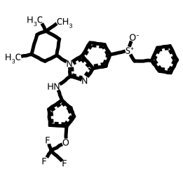 CC1CC(n2c(Nc3ccc(OC(F)(F)F)cc3)nc3cc([S+]([O-])Cc4ccccc4)ccc32)CC(C)(C)C1